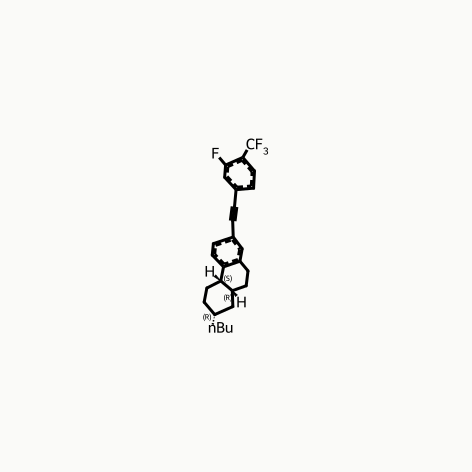 CCCC[C@@H]1CC[C@@H]2c3ccc(C#Cc4ccc(C(F)(F)F)c(F)c4)cc3CC[C@@H]2C1